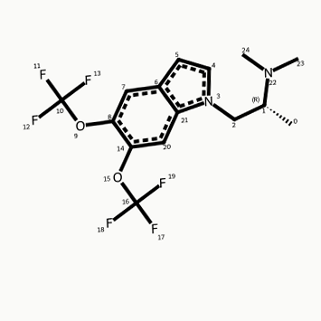 C[C@H](Cn1ccc2cc(OC(F)(F)F)c(OC(F)(F)F)cc21)N(C)C